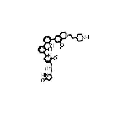 COc1cc(-c2cccc(-c3cccc(-c4ccc(CNC[C@H]5CCC(=O)N5)c(OC)n4)c3Cl)c2Cl)cc2c1CN(CCC1CCNCC1)CC2